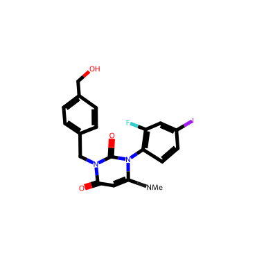 CNc1cc(=O)n(Cc2ccc(CO)cc2)c(=O)n1-c1ccc(I)cc1F